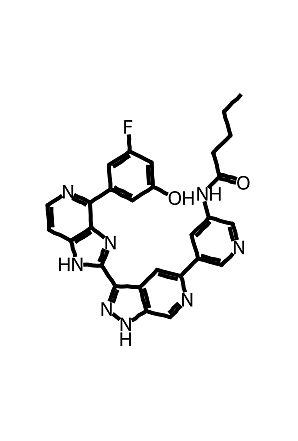 CCCCC(=O)Nc1cncc(-c2cc3c(-c4nc5c(-c6cc(O)cc(F)c6)nccc5[nH]4)n[nH]c3cn2)c1